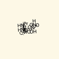 Cc1ccccc1OP(=S)(NC(C)C(=O)NC(C)C)OC[C@H]1O[C@@H](n2ccc(=O)[nH]c2=O)[C@](C)(O)[C@@H]1O